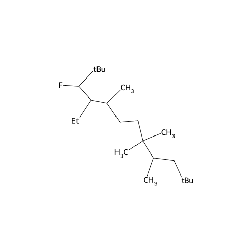 CCC(C(C)CCC(C)(C)C(C)CC(C)(C)C)C(F)C(C)(C)C